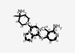 CC1(N)CCN(c2cnc(Sc3ccnc(N)c3Cl)c3ncnn23)CC1